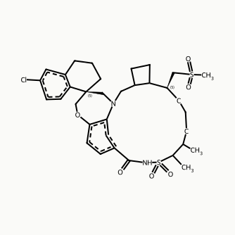 CC1CCC[C@H](CS(C)(=O)=O)C2CCC2CN2C[C@@]3(CCCc4cc(Cl)ccc43)COc3ccc(cc32)C(=O)NS(=O)(=O)C1C